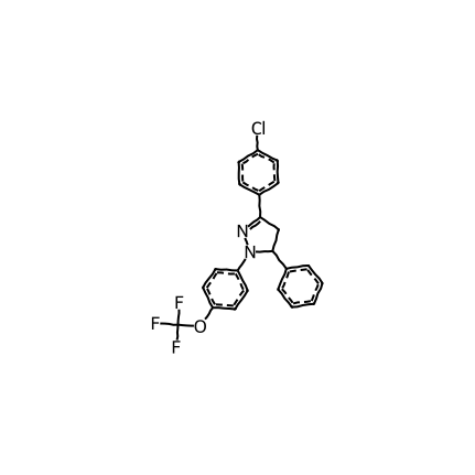 FC(F)(F)Oc1ccc(N2N=C(c3ccc(Cl)cc3)CC2c2ccccc2)cc1